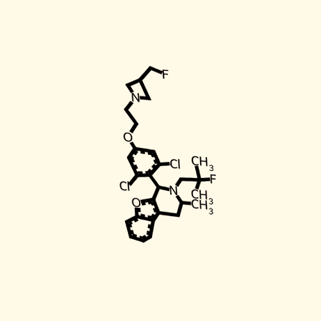 CC1Cc2c(oc3ccccc23)C(c2c(Cl)cc(OCCN3CC(CF)C3)cc2Cl)N1CC(C)(C)F